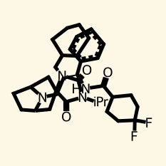 CC(C)N1C(=O)N(CC2CCCCC2)C2(CC3CCC(C2)N3CC[C@H](NC(=O)C2CCC(F)(F)CC2)c2ccccc2)C1=O